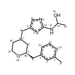 Cc1cc(C[C@@H]2CN(Cc3cnc(NC(C)O)s3)CCO2)ccn1